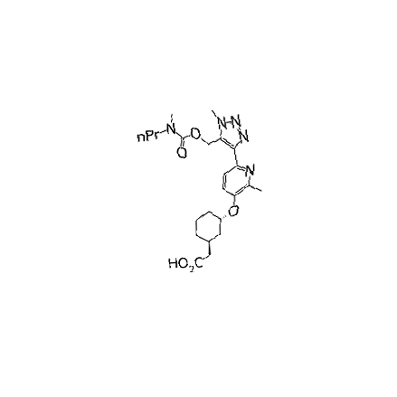 CCCN(C)C(=O)OCc1c(-c2ccc(O[C@H]3CCC[C@H](CC(=O)O)C3)c(C)n2)nnn1C